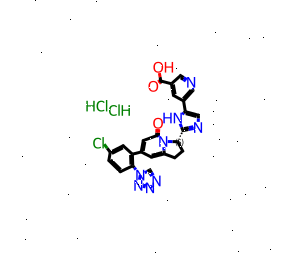 Cl.Cl.O=C(O)c1cncc(-c2cnc([C@@H]3CCc4cc(-c5cc(Cl)ccc5-n5cnnn5)cc(=O)n43)[nH]2)c1